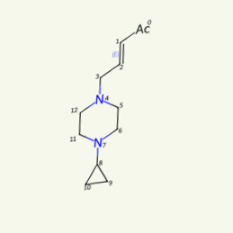 CC(=O)/C=C/CN1CCN(C2CC2)CC1